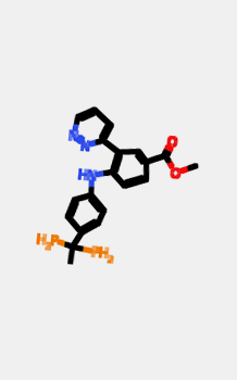 COC(=O)c1ccc(Nc2ccc(C(C)(P)P)cc2)c(-c2cccnn2)c1